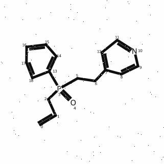 C=CCP(=O)(CCc1ccncc1)c1ccccc1